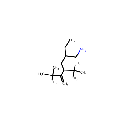 C=C(C(CC(CC)CN)C(C)(C)C)C(C)(C)C